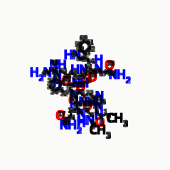 CCCC[C@H](NC(C)=O)C(=O)NC(CCC(N)=O)C(=O)N[C@@H](Cc1c[nH]cn1)C(=O)N[C@H](Cc1ccccc1)C(=O)N[C@@H](CCCNC(=N)N)C(=O)N[C@H](Cc1c[nH]c2ccccc12)C(=O)NCC(N)=O